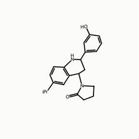 CC(C)c1ccc2c(c1)C(N1CCCC1=O)CC(c1cccc(O)c1)N2